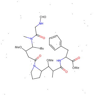 CCC(C)C(C(CC(=O)N1CCCC1C(OC)C(C)C(=O)NC(Cc1ccccc1)C(=O)OC)OC)N(C)C(=O)CNC=O